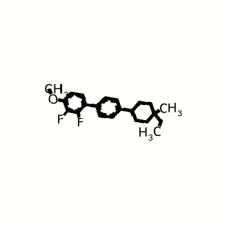 CCC1(C)CCC(c2ccc(-c3ccc(OC)c(F)c3F)cc2)CC1